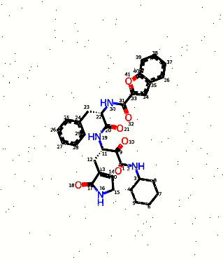 O=C(NC1CCCCC1)C(=O)[C@H](CC1=CCNC1=O)NC(=O)[C@H](Cc1ccccc1)NC(=O)c1cc2ccccc2o1